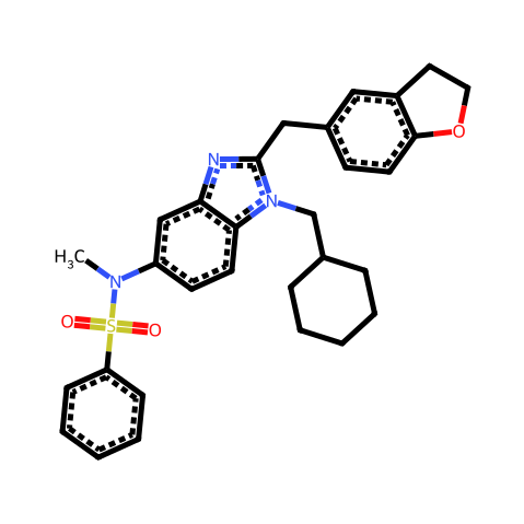 CN(c1ccc2c(c1)nc(Cc1ccc3c(c1)CCO3)n2CC1CCCCC1)S(=O)(=O)c1ccccc1